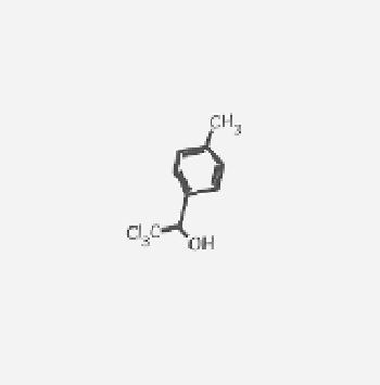 Cc1ccc(C(O)C(Cl)(Cl)Cl)cc1